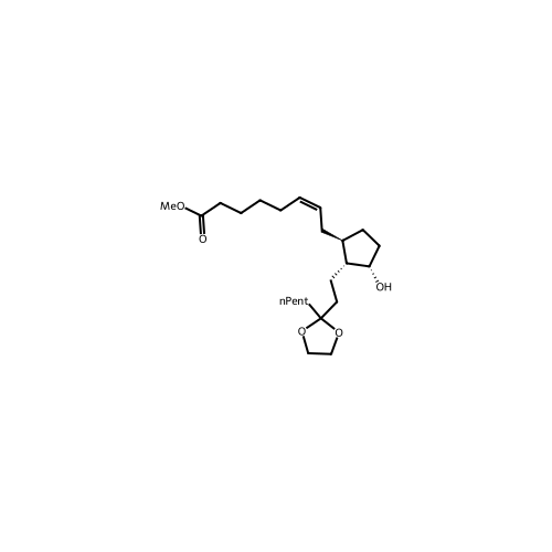 CCCCCC1(CC[C@@H]2[C@@H](C/C=C\CCCCC(=O)OC)CC[C@@H]2O)OCCO1